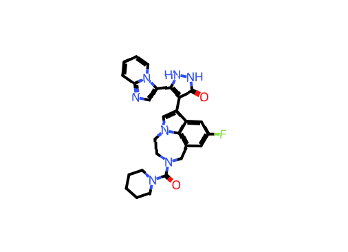 O=C(N1CCCCC1)N1CCn2cc(-c3c(-c4cnc5ccccn45)[nH][nH]c3=O)c3cc(F)cc(c32)C1